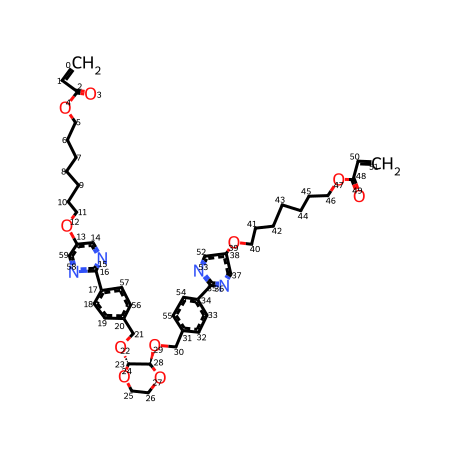 C=CC(=O)OCCCCCCCOc1cnc(-c2ccc(CO[C@H]3OCCO[C@@H]3OCc3ccc(-c4ncc(OCCCCCCCOC(=O)C=C)cn4)cc3)cc2)nc1